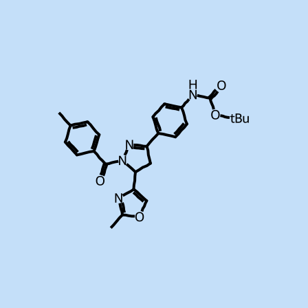 Cc1ccc(C(=O)N2N=C(c3ccc(NC(=O)OC(C)(C)C)cc3)CC2c2coc(C)n2)cc1